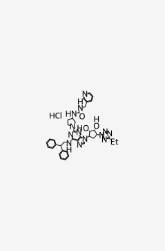 CCc1nnn([C@H]2C[C@@H](n3cnc4c(NCC(c5ccccc5)c5ccccc5)nc(N5CC[C@@H](NC(=O)NCc6cccnc6)C5)nc43)[C@H](O)[C@@H]2O)n1.Cl